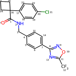 O=C(NCc1ccc(-c2noc(C(F)(F)F)n2)cc1)C1(c2ccc(Cl)cc2)CCC1